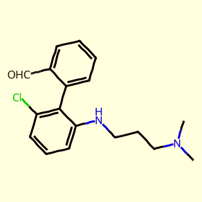 CN(C)CCCNc1cccc(Cl)c1-c1ccccc1C=O